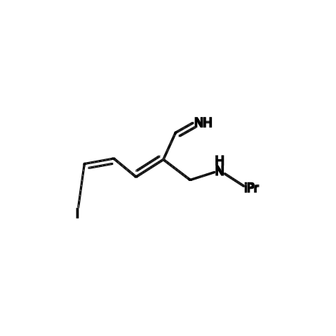 CC(C)NC/C(C=N)=C/C=C\I